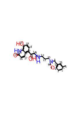 Cc1cccc(CN(C=O)CCCNCC(O)c2ccc(O)c3[nH]c(=O)ccc23)c1